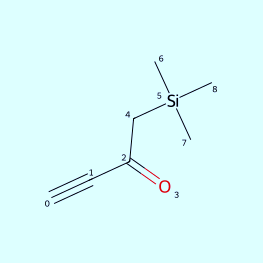 C#CC(=O)C[Si](C)(C)C